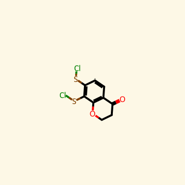 O=C1CCOc2c1c[c]c(SCl)c2SCl